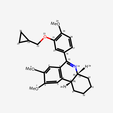 COc1cc2c(cc1OC)[C@H]1CCCC[C@H]1N=C2c1ccc(OC)c(OCC2CC2)c1